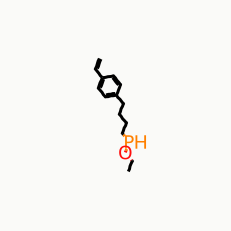 C=Cc1ccc(CCCCPOCC)cc1